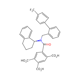 O=C(O)c1cc(C(=O)O)c(C(=O)N(Cc2ccccc2-c2ccc(C(F)(F)F)cc2)[C@H]2CCCc3ccccc32)cc1C(=O)O